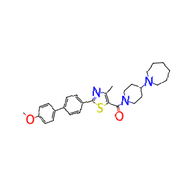 COc1ccc(-c2ccc(-c3nc(C)c(C(=O)N4CCC(N5CCCCCC5)CC4)s3)cc2)cc1